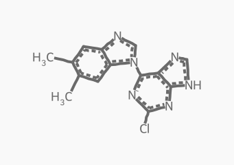 Cc1cc2ncn(-c3nc(Cl)nc4[nH]cnc34)c2cc1C